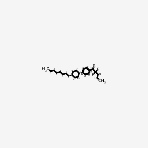 CCCCCCCC[C@H]1CC[C@H](c2ccc(C(F)C(F)(F)CCC)cc2)CC1